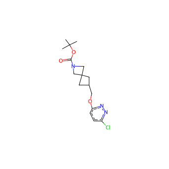 CC(C)(C)OC(=O)N1CC2(CC(COc3ccc(Cl)nn3)C2)C1